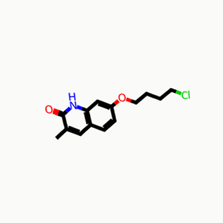 Cc1cc2ccc(OCCCCCl)cc2[nH]c1=O